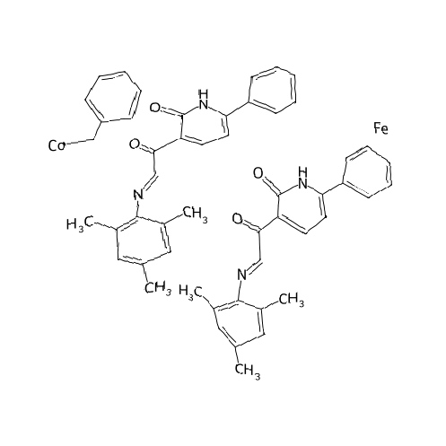 Cc1cc(C)c(N=CC(=O)c2ccc(-c3ccccc3)[nH]c2=O)c(C)c1.Cc1cc(C)c(N=CC(=O)c2ccc(-c3ccccc3)[nH]c2=O)c(C)c1.[Co][CH2]c1ccccc1.[Fe]